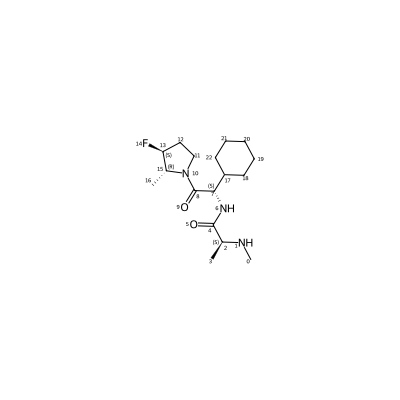 CN[C@@H](C)C(=O)N[C@H](C(=O)N1CC[C@H](F)[C@H]1C)C1CCCCC1